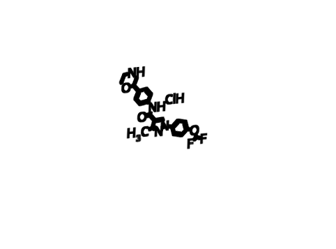 Cc1nn(-c2ccc(OC(F)F)cc2)cc1C(=O)Nc1ccc(C2CNCCO2)cc1.Cl